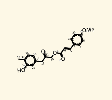 COc1ccc(/C=C/C(=O)OCC(=O)Cc2ccc(C)c(O)c2)cc1